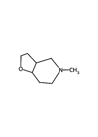 CN1CCC2OCCC2C1